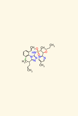 C=CC[C@@H](C)c1nnc(NS(=O)(=O)[C@@H](C)[C@@H](OCCC)c2ncc(C)cn2)n1-c1c(F)cccc1C=C